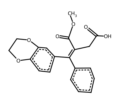 COC(=O)C(CC(=O)O)=C(c1ccccc1)c1ccc2c(c1)OCCO2